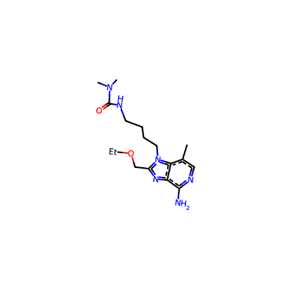 CCOCc1nc2c(N)ncc(C)c2n1CCCCNC(=O)N(C)C